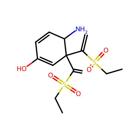 C=C(C1(C(=C)S(=O)(=O)CC)C=C(O)C=CC1N)S(=O)(=O)CC